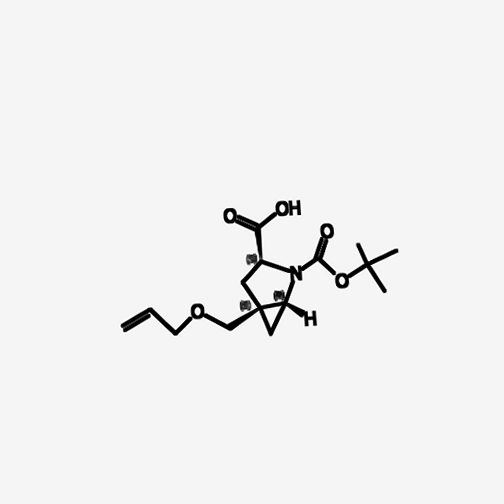 C=CCOC[C@@]12C[C@@H](C(=O)O)N(C(=O)OC(C)(C)C)[C@@H]1C2